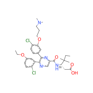 CCOc1ccc(Cl)c(-c2ncc(C(=O)N[C@@H](CC(=O)O)C(C)(C)CC)nc2-c2ccc(Cl)c(OCCCN(C)C)c2)c1